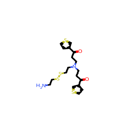 NCCSSCCN(CCC(=O)c1ccsc1)CCC(=O)c1ccsc1